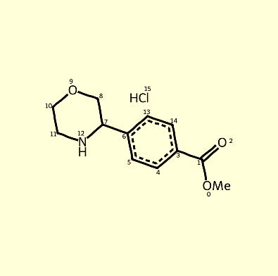 COC(=O)c1ccc(C2COCCN2)cc1.Cl